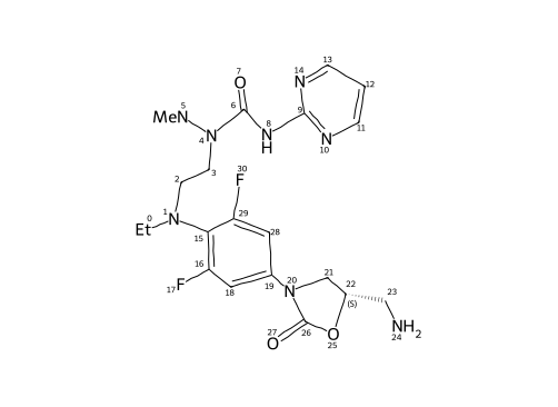 CCN(CCN(NC)C(=O)Nc1ncccn1)c1c(F)cc(N2C[C@H](CN)OC2=O)cc1F